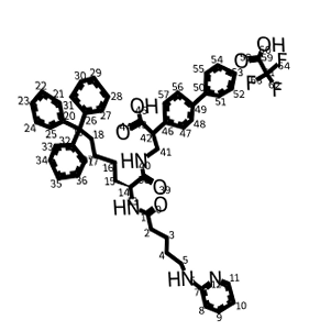 O=C(CCCCNc1ccccn1)N[C@@H](CCCCC(c1ccccc1)(c1ccccc1)c1ccccc1)C(=O)NCC(C(=O)O)c1ccc(-c2ccccc2)cc1.O=C(O)C(F)(F)F